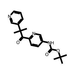 CC(C)(C)OC(=O)Nc1ccc(C(=O)C(C)(C)c2cccnc2)nc1